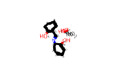 O=[N+]([O-])O.O=[N+]([O-])O.Oc1ccccc1/C=N/c1ccccc1O